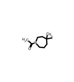 CC(=O)N1CCCC(C)(I)CC1